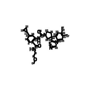 COCCNC(=O)c1ccc(C2CC2)cc1NC(=O)N1CC[C@](c2ccc(C)c(F)c2)(c2ncns2)C1